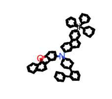 c1ccc(-c2ccccc2-c2ccc(N(c3ccc4c(ccc5cc([Si](c6ccccc6)(c6ccccc6)c6ccccc6)ccc54)c3)c3ccc4oc5c6ccccc6ccc5c4c3)cc2)cc1